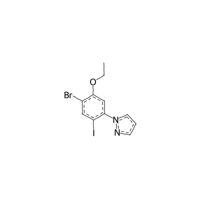 CCOc1cc(-n2cccn2)c(I)cc1Br